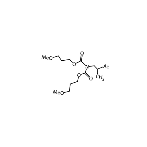 COCCCOC(=O)N(CC(C)C(C)=O)C(=O)OCCCOC